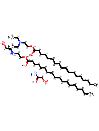 CCCCCCCCCCCCCCCCCC(=O)OCCN(CC)CC.CCCCCCCCCCCCCCCCCC(=O)OCCNCCO.NC(=O)CO